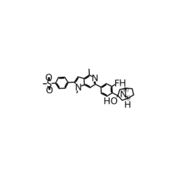 Cc1nc(-c2ccc(C3(O)C[C@H]4CC[C@@H](C3)N4C)c(F)c2)cc2c1cc(-c1ccc(S(C)(=O)=O)cc1)n2C